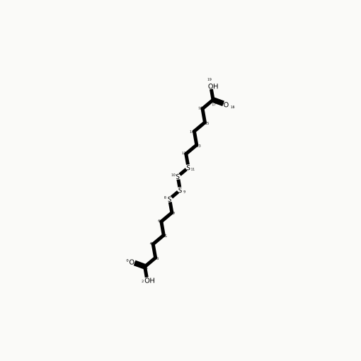 O=C(O)CCCCCSSSSCCCCCC(=O)O